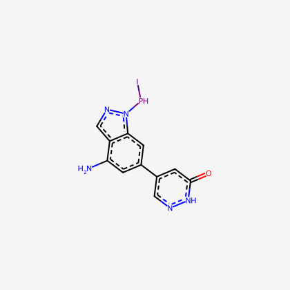 Nc1cc(-c2cn[nH]c(=O)c2)cc2c1cnn2PI